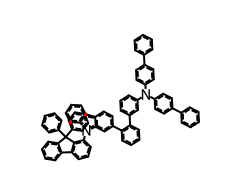 c1ccc(-c2ccc(N(c3ccc(-c4ccccc4)cc3)c3cccc(-c4ccccc4-c4ccc5c6ccccc6n(-c6cccc7c6C(c6ccccc6)(c6ccccc6)c6ccccc6-7)c5c4)c3)cc2)cc1